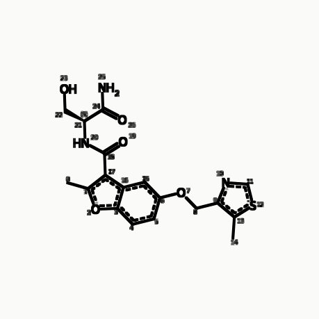 Cc1oc2ccc(OCc3ncsc3C)cc2c1C(=O)N[C@@H](CO)C(N)=O